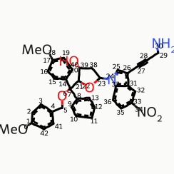 COc1ccc(COC(c2ccccc2)(c2ccc(OC)cc2)C2OC(n3cc(C#CCN)c4cc([N+](=O)[O-])ccc43)CC2O)cc1